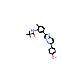 Cc1ccc(-c2cn3nc(-c4ccc(O)cc4)ccc3n2)cc1NC(=O)C(C)(C)C